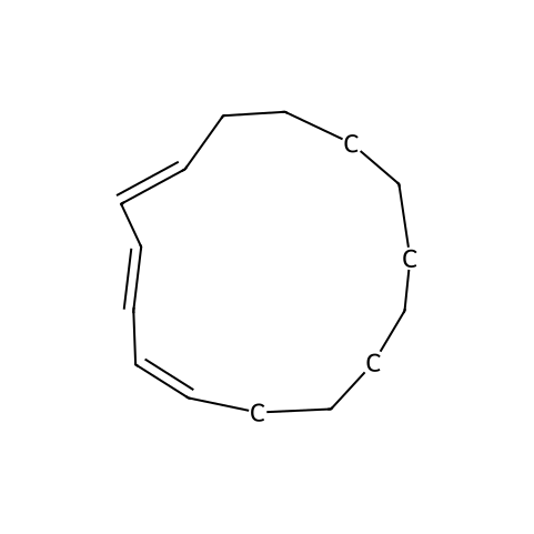 C1=C\CCCCCCCCC/C=C/C=C/1